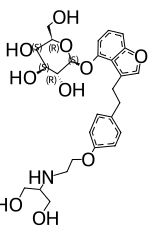 OCC(CO)NCCOc1ccc(CCc2coc3cccc(O[C@@H]4O[C@H](CO)[C@@H](O)[C@H](O)[C@H]4O)c23)cc1